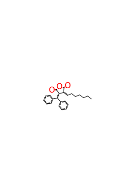 CCCCCCC=C1C(=O)OC(=O)C1=C(c1ccccc1)c1ccccc1